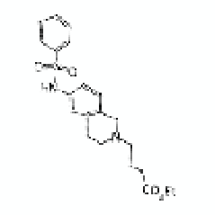 CCOC(=O)CCCN1CCc2cc(NS(=O)(=O)c3ccccc3)ccc2C1